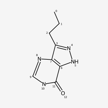 CCCc1n[nH]c2c1N=C[N]C2=O